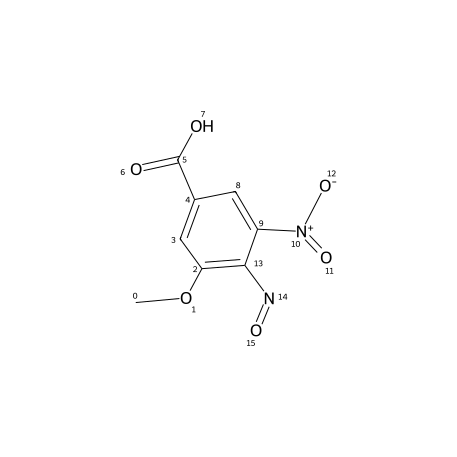 COc1cc(C(=O)O)cc([N+](=O)[O-])c1N=O